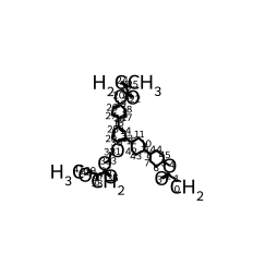 C=CC(=O)OC1CCC(C2CCC(c3cc(-c4ccc(OC(=O)C(=C)C)cc4)ccc3OCCOC(=O)C(=C)COC)CC2)CC1